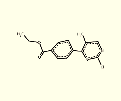 CCOC(=O)c1ccc(-c2nc(Cl)ncc2C)cc1